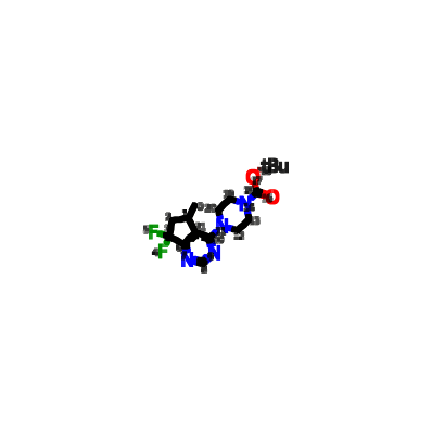 CC1CC(F)(F)c2ncnc(N3CCN(C(=O)OC(C)(C)C)CC3)c21